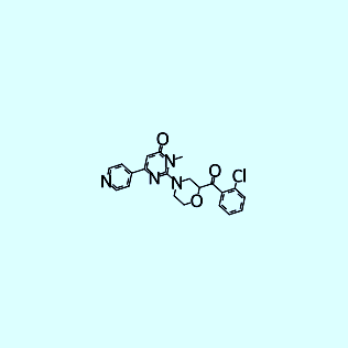 Cn1c(N2CCOC(C(=O)c3ccccc3Cl)C2)nc(-c2ccncc2)cc1=O